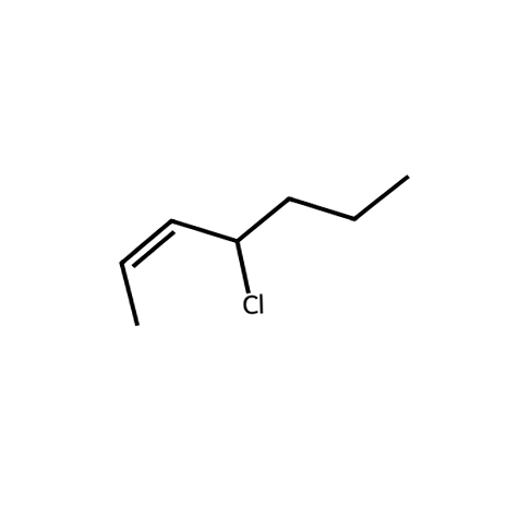 C/C=C\C(Cl)CCC